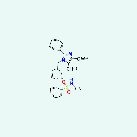 COc1nc(-c2ccccc2)n(Cc2ccc(-c3ccccc3S(=O)(=O)NC#N)cc2)c1C=O